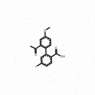 COc1ccc(-c2cc(F)ccc2C(=O)O)c(C(C)=O)c1